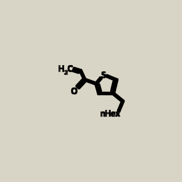 C=CC(=O)c1cc(CCCCCCC)cs1